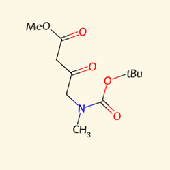 COC(=O)CC(=O)CN(C)C(=O)OC(C)(C)C